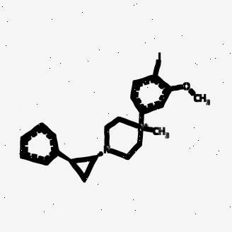 COc1cc([N+]2(C)CCN([C@@H]3C[C@H]3c3ccccc3)CC2)ccc1I